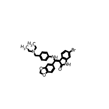 CCN(CC)Cc1ccc(NC(=C2C(=O)Nc3cc(Br)ccc32)c2ccc3c(c2)OCO3)cc1